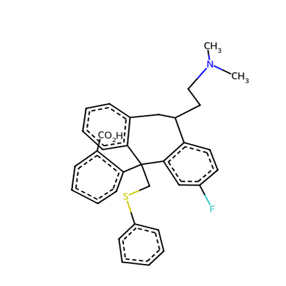 CN(C)CCC1Cc2ccccc2C(CSc2ccccc2)(c2ccccc2C(=O)O)c2cc(F)ccc21